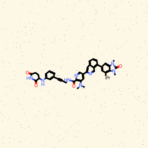 CC(C)c1cc(-c2cccc3cc(-c4cnc(C(=O)NCC#Cc5cccc(NC6CCC(=O)NC6=O)c5)c(N(C)C)c4)ncc23)cc2c1n(C)c(=O)n2C